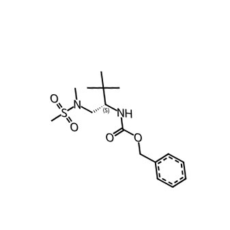 CN(C[C@@H](NC(=O)OCc1ccccc1)C(C)(C)C)S(C)(=O)=O